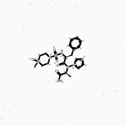 C[C@@H](C(N)=O)N(C(=O)[C@H](Cc1ccccc1)NS(=O)(=O)N1CC[N+](C)([O-])CC1)n1ccnc1